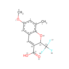 COc1cc(C)c2c(c1)C=C(C(=O)O)C(C(F)(F)F)O2